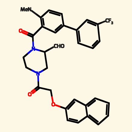 CNc1ccc(-c2cccc(C(F)(F)F)c2)cc1C(=O)N1CCN(C(=O)COc2ccc3ccccc3c2)CC1C=O